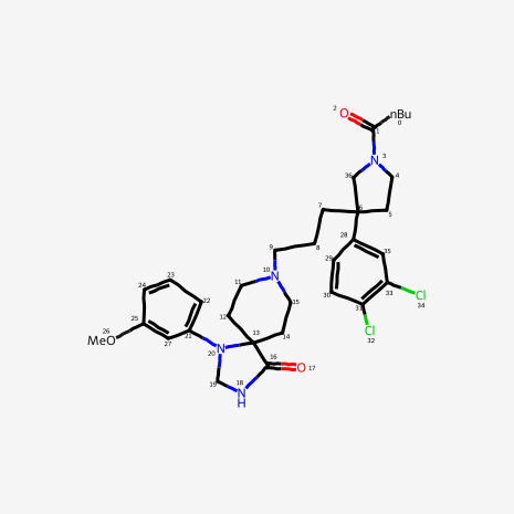 CCCCC(=O)N1CCC(CCCN2CCC3(CC2)C(=O)NCN3c2cccc(OC)c2)(c2ccc(Cl)c(Cl)c2)C1